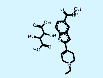 CCN1CC=C(c2cc3cc(C(=O)NO)ccc3s2)CC1.O=C(O)C(O)C(O)C(=O)O